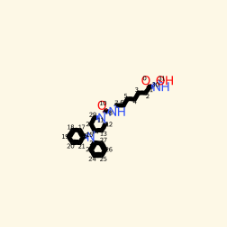 O=C(CCCCCCNC(=O)N1CCC(N(c2ccccc2)c2ccccc2)CC1)NO